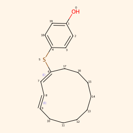 Oc1ccc(S/C2=C/C=C/CCCCCCCC2)cc1